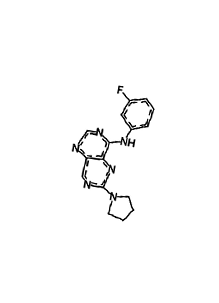 Fc1cccc(Nc2ncnc3cnc(N4CCCC4)nc23)c1